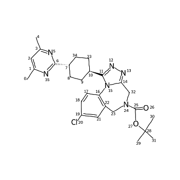 Cc1cc(C)nc([C@H]2CC[C@H](c3nnc4n3-c3ccc(Cl)cc3CN(C(=O)OC(C)(C)C)C4)CC2)n1